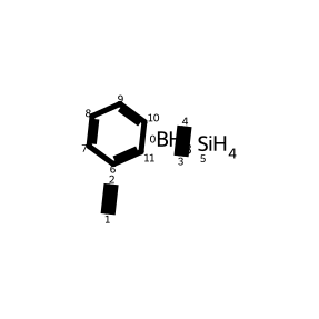 B.C#C.C#C.[SiH4].c1ccccc1